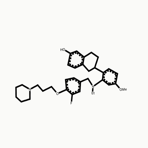 CCN(Cc1ccc(OCCCN2CCCCC2)c(F)c1)c1cc(OC)ccc1C1CCc2cc(O)ccc2C1